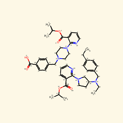 CC(C)OC(=O)c1cccnc1N1CCN(Cc2ccc(C(=O)O)cc2)CC1.CCc1ccc(CN(CC)[C@H]2CCN(c3ncccc3C(=O)OC(C)C)C2)cc1